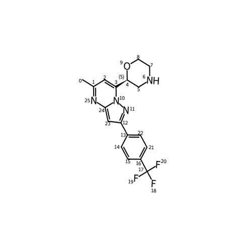 Cc1cc([C@@H]2CNCCO2)n2nc(-c3ccc(C(F)(F)F)cc3)cc2n1